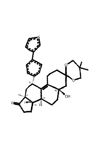 CC1(C)COC2(CCC3=C4[C@@H](CC[C@@]3(O)C2)[C@@H]2CCC(=O)[C@@]2(C)C[C@@H]4c2ccc(-c3ccsc3)cc2)OC1